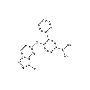 CCCCN(CCCC)c1ccc(Oc2ccc3nnc(Cl)n3n2)c(-c2ccccc2)c1